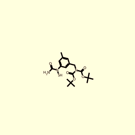 Cc1cc(CN(C(=O)OC(C)(C)C)C(=O)OC(C)(C)C)cc(N(S)C(N)=O)c1